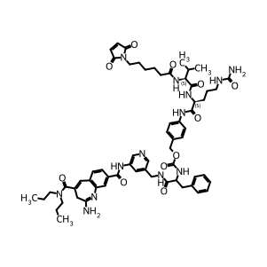 CCCN(CCC)C(=O)C1=Cc2ccc(C(=O)Nc3cncc(CNC(=O)C(Cc4ccccc4)NC(=O)OCc4ccc(NC(=O)[C@H](CCCNC(N)=O)NC(=O)[C@@H](NC(=O)CCCCCN5C(=O)C=CC5=O)C(C)C)cc4)c3)cc2N=C(N)C1